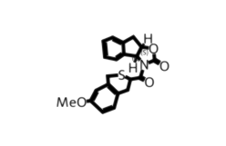 COc1ccc2c(c1)CSC(C(=O)N1C(=O)O[C@H]3Cc4ccccc4[C@H]31)C2